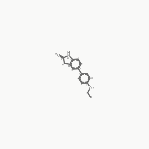 CCOc1ccc(-c2ccc3c(c2)CC(=O)N3)cc1